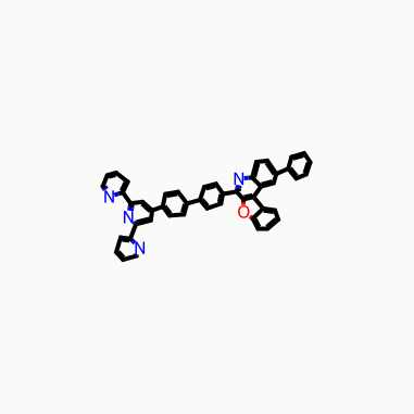 c1ccc(-c2ccc3nc(-c4ccc(-c5ccc(-c6cc(-c7ccccn7)nc(-c7ccccn7)c6)cc5)cc4)c4oc5ccccc5c4c3c2)cc1